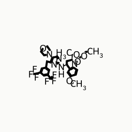 CCOC(=O)ON1c2ccc(OC)cc2[C@@H](Nc2ncc(N3CCOCC3)c(Cc3cc(C(F)(F)F)cc(C(F)(F)F)c3)n2)C[C@H]1CC